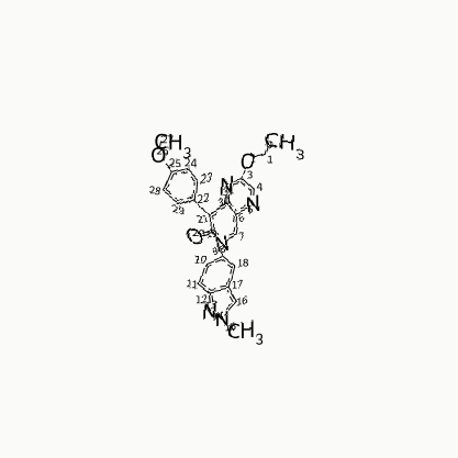 CCOc1cnc2cn(-c3ccc4nn(C)cc4c3)c(=O)c(-c3ccc(OC)cc3)c2n1